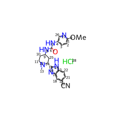 COc1ccc(NC(=O)N[C@@H]2CCN(C)[C@@H](c3nc4cc(C#N)ccc4[nH]3)C2)cn1.Cl